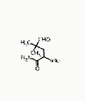 CCCCC(CC(C)(C)C=O)C(N)=O